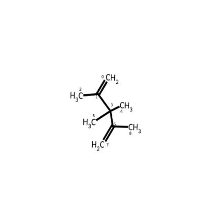 C=C(C)C(C)(C)C(=C)C